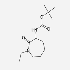 CCN1CCCCC(NC(=O)OC(C)(C)C)C1=O